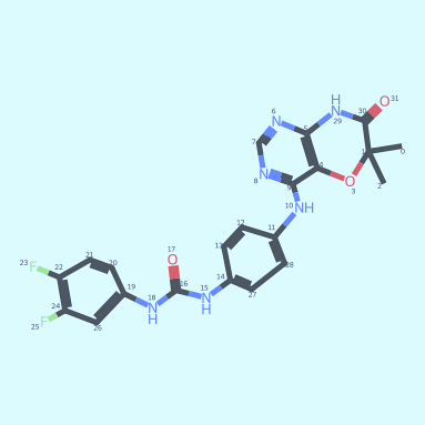 CC1(C)Oc2c(ncnc2Nc2ccc(NC(=O)Nc3ccc(F)c(F)c3)cc2)NC1=O